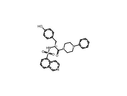 O=C([C@H](Cc1ccc(O)cc1)NS(=O)(=O)c1cccc2cnccc12)N1CCN(c2ccccc2)CC1